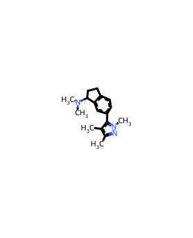 Cc1nn(C)c(-c2ccc3c(c2)C(N(C)C)CC3)c1C